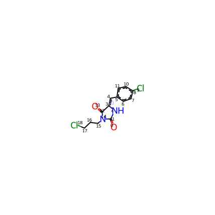 O=C1N/C(=C\c2ccc(Cl)cc2)C(=O)N1CCCCl